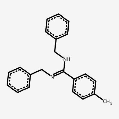 Cc1ccc(C(=NCc2ccccc2)NCc2ccccc2)cc1